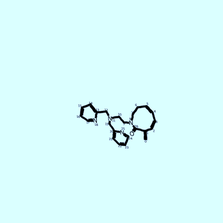 C=C1/C=C\C=C/CCN(CCN(Cc2ccccn2)Cc2ccccn2)C1=O